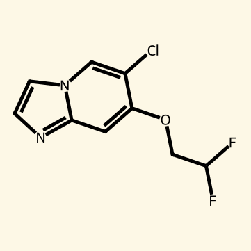 FC(F)COc1cc2nccn2cc1Cl